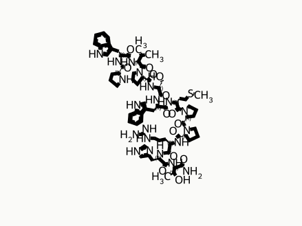 CSCC[C@@H](NC(=O)[C@@H](Cc1c[nH]c2ccccc12)NC(=O)[C@@H](CO)NC(=O)[C@H]1CCCN1C(=O)[C@H](NC(=O)[C@@H](Cc1c[nH]c2ccccc12)NC(=O)[C@H]1CCCN1)C(C)C)C(=O)N1CCC[C@@H]1C(=O)N1CCC[C@@H]1C(=O)N[C@H](CCCNC(=N)N)C(=O)N[C@H](Cc1c[nH]cn1)C(=O)N[C@@H](C(N)=O)[C@H](C)O